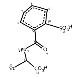 CCC(NC(=O)c1ccccc1S(=O)(=O)O)C(=O)O